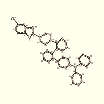 Clc1ccc2oc(-c3ccc(-c4ccccc4-c4ccccc4-c4ccc(N(c5ccccc5)c5ccccc5)cc4)cc3)nc2c1